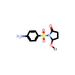 CCOC1CCC(=O)N1S(=O)(=O)c1ccc(N)cc1